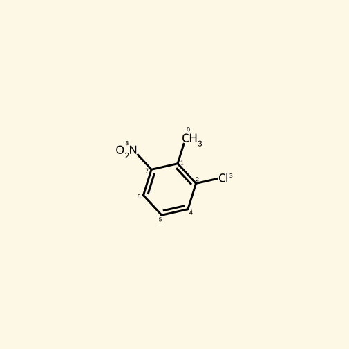 Cc1c(Cl)[c]ccc1[N+](=O)[O-]